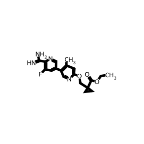 CCOC(=O)C1(COc2cc(C)c(-c3cnc(C(=N)N)c(F)c3)cn2)CC1